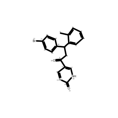 Cc1ccccc1C(CC(=O)c1cnc(=O)[nH]c1)c1ccc(Br)cc1